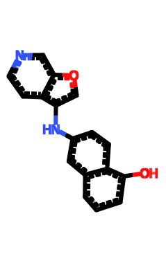 Oc1cccc2cc(Nc3coc4cnccc34)ccc12